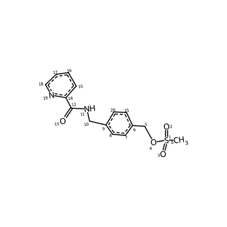 CS(=O)(=O)OCc1ccc(CNC(=O)c2ccccn2)cc1